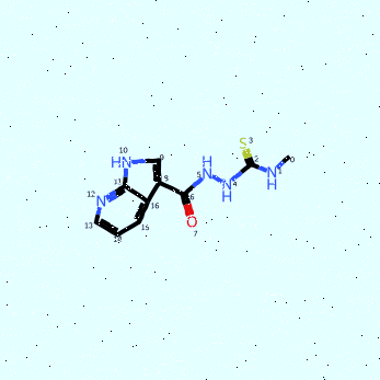 CNC(=S)NNC(=O)c1c[nH]c2ncccc12